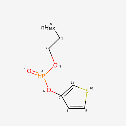 CCCCCCCCO[PH](=O)Oc1ccsc1